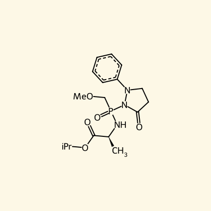 COCP(=O)(N[C@@H](C)C(=O)OC(C)C)N1C(=O)CCN1c1ccccc1